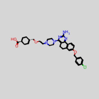 Nc1nc2c(c(N3CCN(CCOC[C@H]4CC[C@H](C(=O)O)CC4)CC3)n1)CCc1cc(OCc3ccc(Cl)cc3)ccc1-2